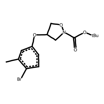 Cc1cc(OC2CON(C(=O)OC(C)(C)C)C2)ccc1Br